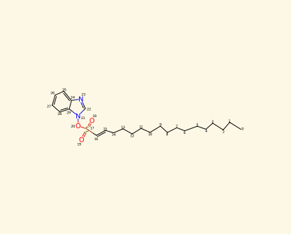 CCCCCCCCCCCCCCCC=CS(=O)(=O)On1cnc2ccccc21